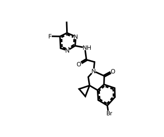 Cc1nc(NC(=O)CN2CC3(CC3)c3cc(Br)ccc3C2=O)ncc1F